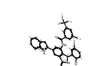 O=C(Nc1cc(-c2cc3ccccc3[nH]2)cc2c1C(c1cc(F)ccc1Cl)NC2=O)c1cc(F)cc(C(F)(F)F)c1